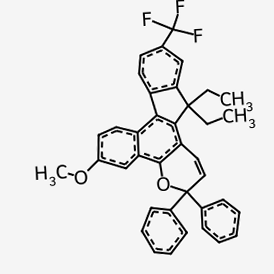 CCC1(CC)c2cc(C(F)(F)F)ccc2-c2c1c1c(c3cc(OC)ccc23)OC(c2ccccc2)(c2ccccc2)C=C1